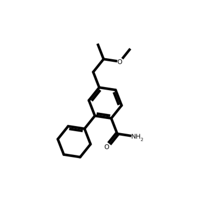 COC(C)Cc1ccc(C(N)=O)c(C2=CCCCC2)c1